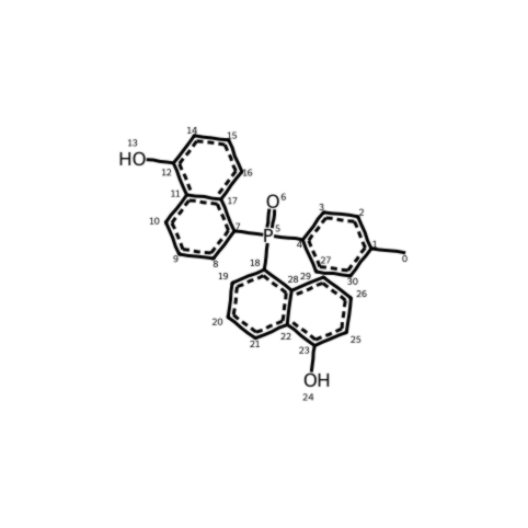 Cc1ccc(P(=O)(c2cccc3c(O)cccc23)c2cccc3c(O)cccc23)cc1